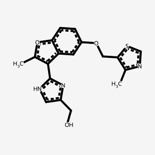 Cc1ncsc1COc1ccc2oc(C)c(-c3nc(CO)c[nH]3)c2c1